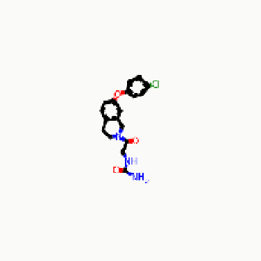 NC(=O)NCC(=O)N1CCc2ccc(Oc3ccc(Cl)cc3)cc2C1